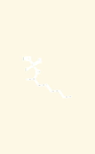 CCCCCCC(C)OP(O)(F)=S